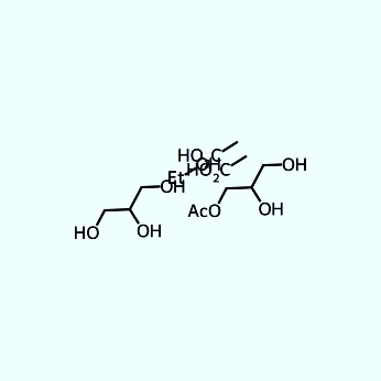 CC(=O)O.CC(=O)O.CC(=O)OCC(O)CO.CCO.OCC(O)CO